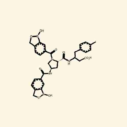 O=C(O)CC(Cc1ccc(I)cc1)NC(=O)[C@@H]1C[C@@H](NC(=O)c2ccc3c(c2)B(O)OC3)CN1C(=O)c1ccc2c(c1)B(O)OC2